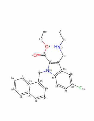 CCNCc1c(C(=O)OCC)n(Cc2cccc3ccccc23)c2ccc(F)cc12